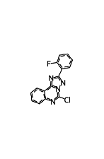 Fc1ccccc1-c1nc2c3ccccc3nc(Cl)n2n1